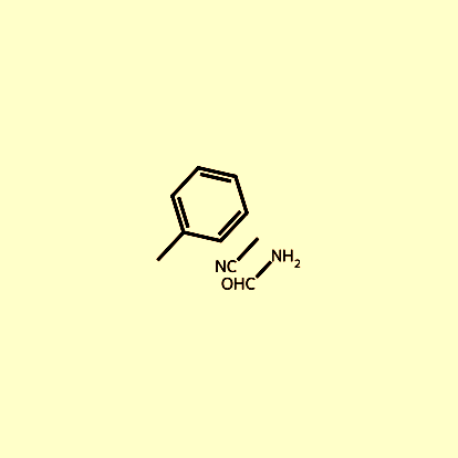 CC#N.Cc1ccccc1.NC=O